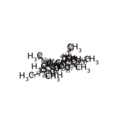 CCCCc1ccc(CC)c(-c2cccc(OPOc3cccc(-c4c(CC)ccc(CCCC)c4CC)c3-c3c(CC)ccc(CCCC)c3CC)c2-c2c(CC)ccc(CCCC)c2CC)c1CC